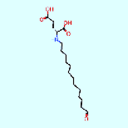 O=CCCCCCCCCCCCCN[C@H](CCC(=O)O)C(=O)O